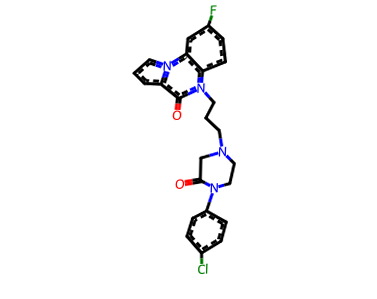 O=C1CN(CCCn2c(=O)c3cccn3c3cc(F)ccc32)CCN1c1ccc(Cl)cc1